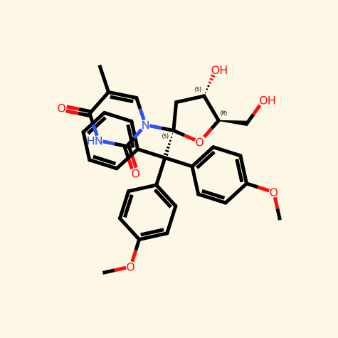 COc1ccc(C(c2ccccc2)(c2ccc(OC)cc2)[C@]2(n3cc(C)c(=O)[nH]c3=O)C[C@H](O)[C@@H](CO)O2)cc1